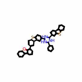 C1=CC2Sc3ccc(C4NC(c5ccccc5)NC(c5ccc6c(c5)sc5ccccc56)N4)cc3C2C=C1c1cccc2c1oc1ccccc12